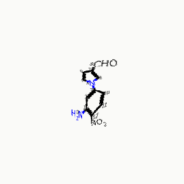 Nc1cc(-n2ccc(C=O)c2)ccc1[N+](=O)[O-]